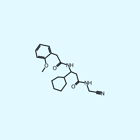 COc1ccccc1CC(=O)NC(CC(=O)NCC#N)C1CCCCC1